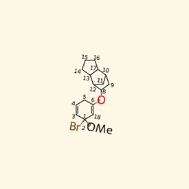 COC1(Br)C=CCC(OC2CC3CC2C2CCCC32)=C1